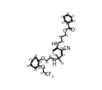 C=C(NCCCOC(=O)c1ccccc1)/C(C#N)=C\C(C)(C)NCCOc1ccccc1OCC(F)(F)F